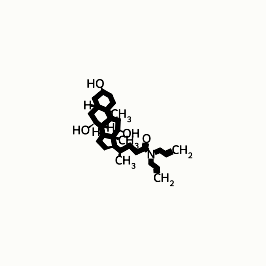 C=CCN(CC=C)C(=O)CC[C@@H](C)[C@H]1CC[C@H]2[C@H]3C(C[C@H](O)[C@]12C)[C@@]1(C)CC[C@@H](O)C[C@H]1C[C@H]3O